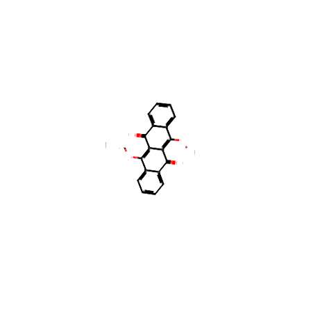 O=C1C2=C(O[SiH3])c3ccccc3C(=O)C2=C(O[SiH3])c2ccccc21